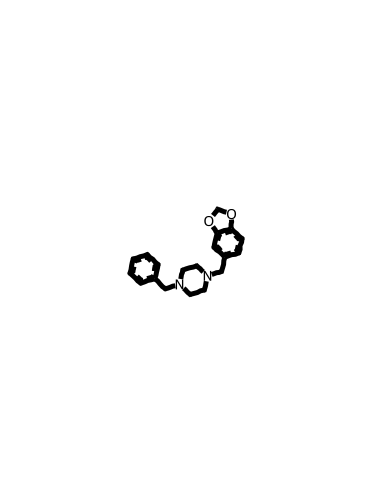 c1ccc(CN2CCN(Cc3ccc4c(c3)OCO4)CC2)cc1